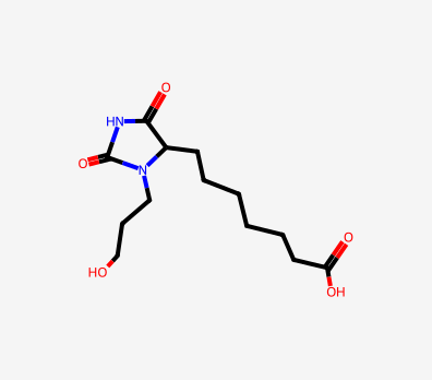 O=C(O)CCCCCCC1C(=O)NC(=O)N1CCCO